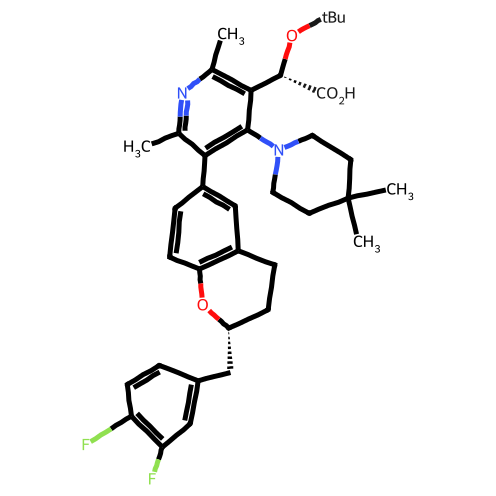 Cc1nc(C)c([C@H](OC(C)(C)C)C(=O)O)c(N2CCC(C)(C)CC2)c1-c1ccc2c(c1)CC[C@H](Cc1ccc(F)c(F)c1)O2